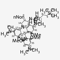 CCCCCCCCCC(CNC(=O)NCCC[Si](C)(C)C)CN1c2cc(N(C)C)cc(OC)c2C(c2c(OC)cc(N(C)C)cc2OC)c2c(OC)cc(N(C)C)cc21